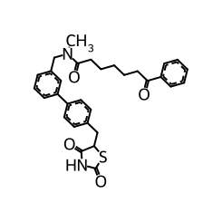 CN(Cc1cccc(-c2ccc(CC3SC(=O)NC3=O)cc2)c1)C(=O)CCCCCC(=O)c1ccccc1